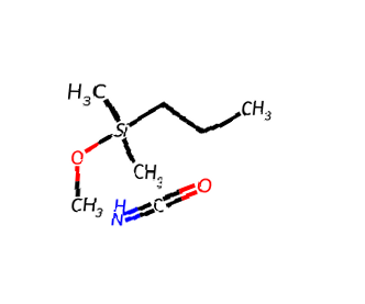 CCC[Si](C)(C)OC.N=C=O